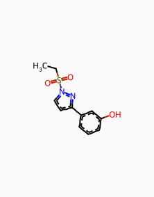 CCS(=O)(=O)n1ccc(-c2cccc(O)c2)n1